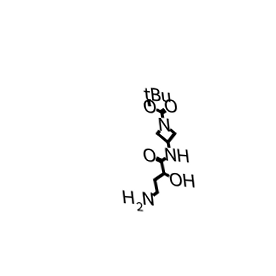 CC(C)(C)OC(=O)N1CC(NC(=O)C(O)CCN)C1